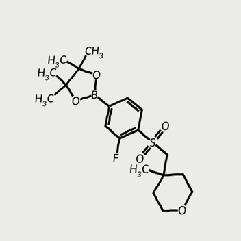 CC1(CS(=O)(=O)c2ccc(B3OC(C)(C)C(C)(C)O3)cc2F)CCOCC1